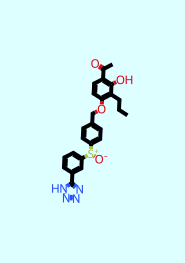 CCCc1c(OCc2ccc([S+]([O-])c3cccc(-c4nnn[nH]4)c3)cc2)ccc(C(C)=O)c1O